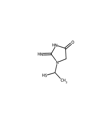 CC(S)N1CC(=O)NC1=N